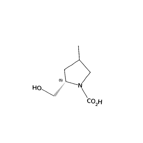 CC1C[C@@H](CO)N(C(=O)O)C1